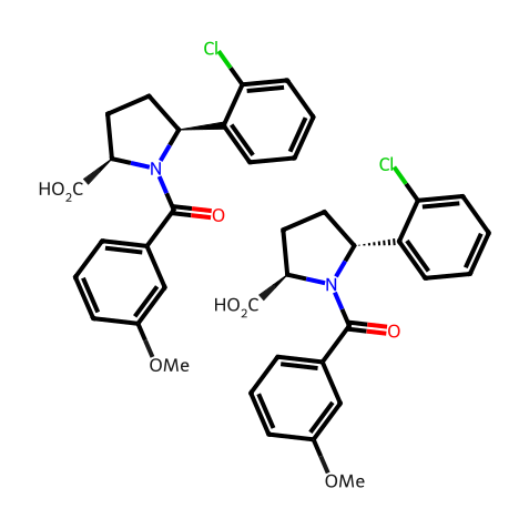 COc1cccc(C(=O)N2[C@@H](C(=O)O)CC[C@@H]2c2ccccc2Cl)c1.COc1cccc(C(=O)N2[C@@H](C(=O)O)CC[C@H]2c2ccccc2Cl)c1